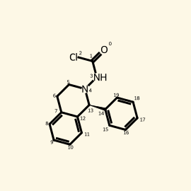 O=C(Cl)NN1CCc2ccccc2[C@@H]1c1ccccc1